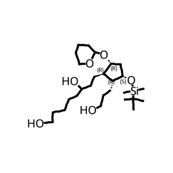 CC(C)(C)[Si](C)(C)O[C@H]1C[C@@H](OC2CCCCO2)[C@H](CCC(O)CCCCCO)[C@H]1CCCO